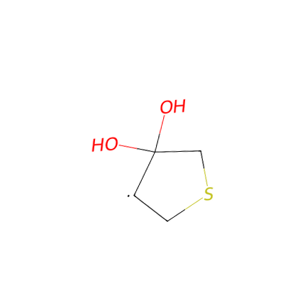 OC1(O)[CH]CSC1